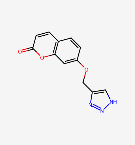 O=c1ccc2ccc(OCc3c[nH]nn3)cc2o1